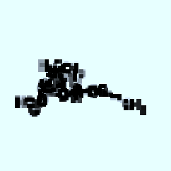 CCCCCCCOc1ccc(-c2cnc(-c3ccc(C[C@H](NC(=O)c4cnn(C(C)(C)C)c4C)C(=O)N4CC[C@H](C(=O)O)C4)cc3)nc2)cc1